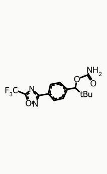 CC(C)(C)C(OC(N)=O)c1ccc(-c2noc(C(F)(F)F)n2)cc1